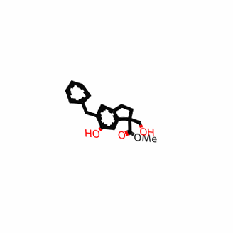 COC(=O)C1(CO)CCc2cc(Cc3ccccc3)c(O)cc21